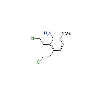 CNc1ccc(CCCl)c(CCCl)c1N